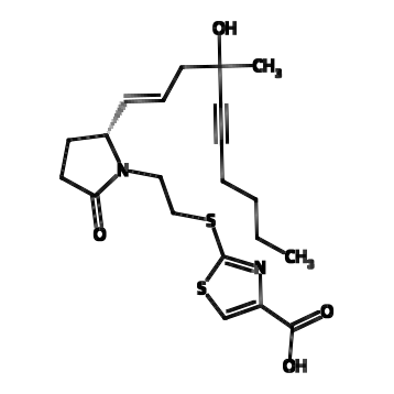 CCCCC#CC(C)(O)CC=C[C@H]1CCC(=O)N1CCSc1nc(C(=O)O)cs1